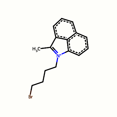 CC1=[N+](CCCCBr)c2cccc3cccc1c23